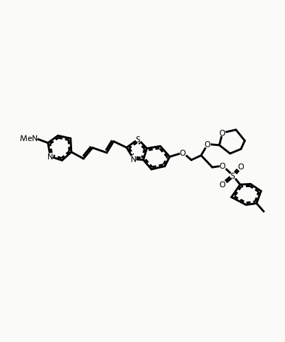 CNc1ccc(/C=C/C=C/c2nc3ccc(OCC(COS(=O)(=O)c4ccc(C)cc4)OC4CCCCO4)cc3s2)cn1